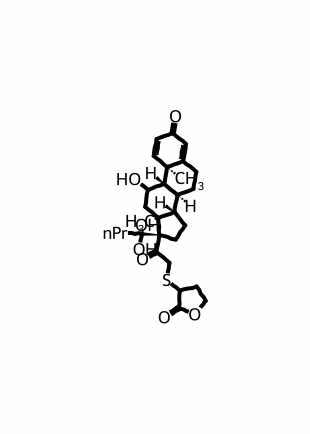 CCCC(O)(O)[C@]1(C(=O)CSC2CCOC2=O)CC[C@H]2[C@@H]3CCC4=CC(=O)C=C[C@]4(C)[C@H]3C(O)C[C@@]21C